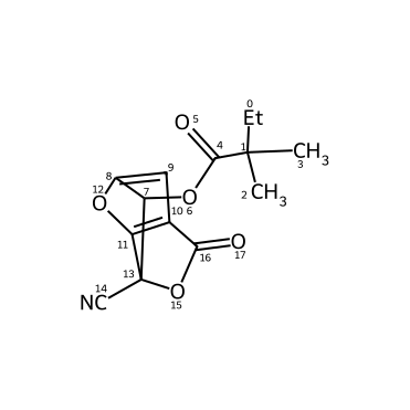 CCC(C)(C)C(=O)OC1c2cc3c(o2)C1(C#N)OC3=O